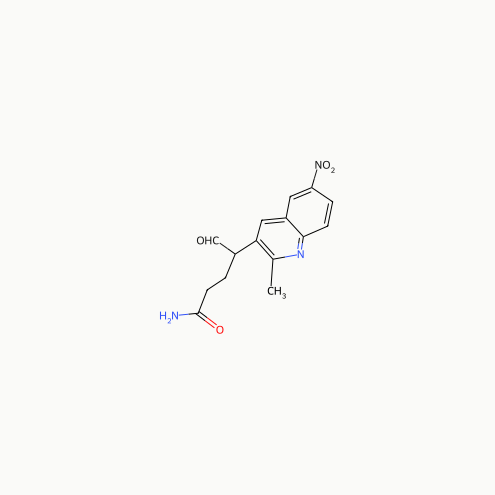 Cc1nc2ccc([N+](=O)[O-])cc2cc1C(C=O)CCC(N)=O